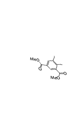 COC(=O)c1cc(C)c(C)c(C(=O)OC)c1